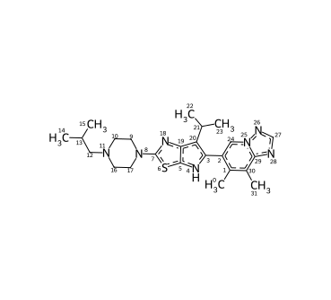 Cc1c(-c2[nH]c3sc(N4CCN(CC(C)C)CC4)nc3c2C(C)C)cn2ncnc2c1C